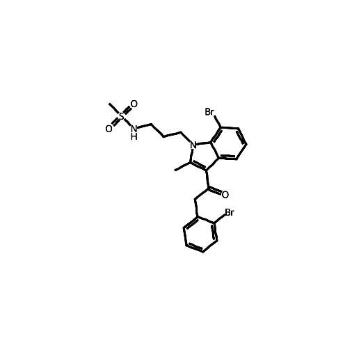 Cc1c(C(=O)Cc2ccccc2Br)c2cccc(Br)c2n1CCCNS(C)(=O)=O